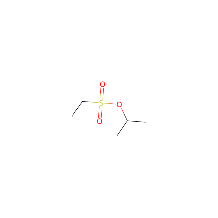 CCS(=O)(=O)OC(C)C